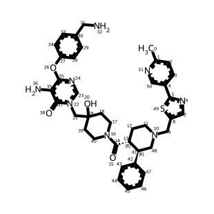 Cc1ccc(-c2ncc(CN3CC[C@@H](C(=O)N4CCC(O)(Cn5cnc(Oc6ccc(CN)cc6)c(N)c5=O)CC4)[C@H](c4ccccc4)C3)s2)cn1